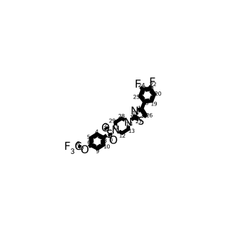 O=S(=O)(c1ccc(OC(F)(F)F)cc1)N1CCN(c2nc(-c3ccc(F)c(F)c3)cs2)CC1